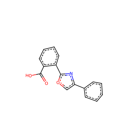 O=C(O)c1ccccc1-c1nc(-c2ccccc2)co1